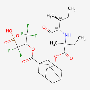 CC[C@H](C)[C@@H](C=O)NC(C)(CC)C(=O)OC12CC3CC(C1)CC(C(=O)OC(C(F)(F)F)C(F)(F)S(=O)(=O)O)(C3)C2